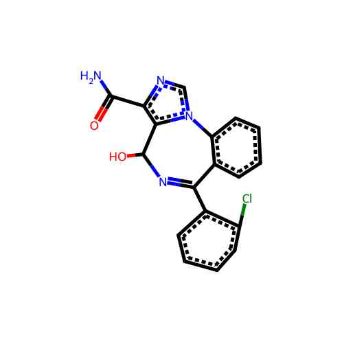 NC(=O)c1ncn2c1C(O)N=C(c1ccccc1Cl)c1ccccc1-2